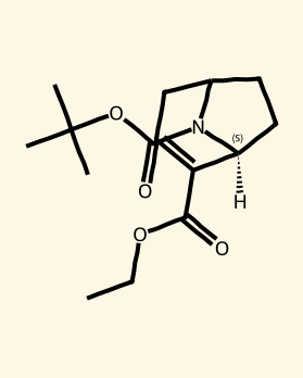 CCOC(=O)C1=CCC2CC[C@@H]1N2C(=O)OC(C)(C)C